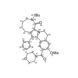 COc1cc2c(cc1C(=O)N1CCOCC1)-c1c(-c3cccs3)c3c(n1CC2)C(=O)N(C(C)(C)C)CCCC3